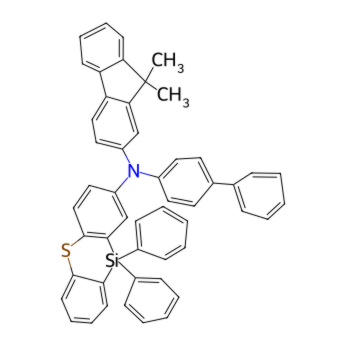 CC1(C)c2ccccc2-c2ccc(N(c3ccc(-c4ccccc4)cc3)c3ccc4c(c3)[Si](c3ccccc3)(c3ccccc3)c3ccccc3S4)cc21